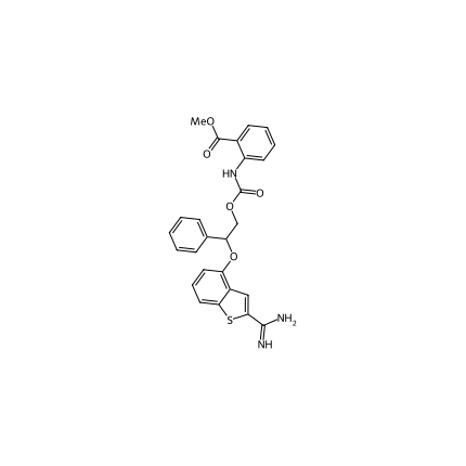 COC(=O)c1ccccc1NC(=O)OCC(Oc1cccc2sc(C(=N)N)cc12)c1ccccc1